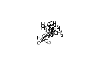 Cc1ccc2ccccc2c1CN1C(=O)[C@@H](NC(=O)[C@H](C)N(C)C(=O)OC(C)(C)C)CCc2ccc(OCc3ccccc3)cc21